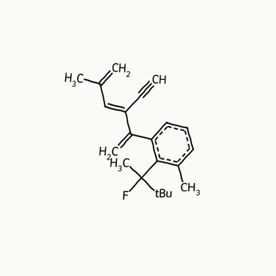 C#C/C(=C\C(=C)C)C(=C)c1cccc(C)c1C(C)(F)C(C)(C)C